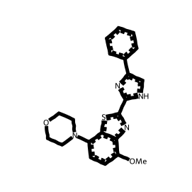 COc1ccc(N2CCOCC2)c2sc(-c3nc(-c4ccccc4)c[nH]3)nc12